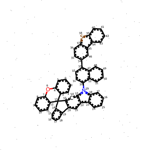 c1ccc2c(c1)Oc1ccccc1C21c2ccccc2-c2cc3c4ccccc4n(-c4ccc(-c5ccc6sc7ccccc7c6c5)c5ccccc45)c3cc21